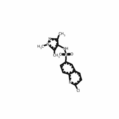 Cc1nn(C)c(C)c1NS(=O)(=O)c1ccc2nc(Cl)ccc2c1